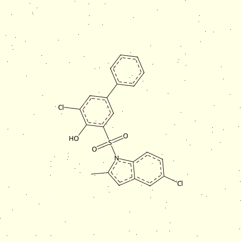 Cc1cc2cc(Cl)ccc2n1S(=O)(=O)c1cc(-c2ccccc2)cc(Cl)c1O